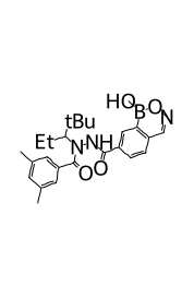 CCC(N(NC(=O)c1ccc2c(c1)B(O)ON=C2)C(=O)c1cc(C)cc(C)c1)C(C)(C)C